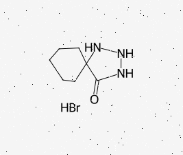 Br.O=C1NNNC12CCCCC2